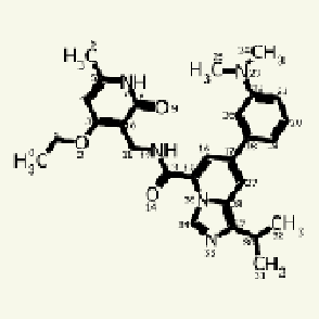 CCOc1cc(C)[nH]c(=O)c1CNC(=O)c1cc(-c2cccc(N(C)C)c2)cc2c(C(C)C)ncn12